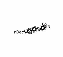 CCCCCCCCCCCCc1cnc(C2CCC(COc3ccc(C#N)c(C#N)c3)CC2)nc1